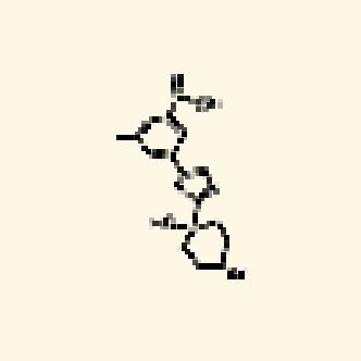 Cc1cc(NC(C)(C)C)cc(-c2cnc([C@]3(O)CC[C@@H](C(C)=O)CC3)s2)c1